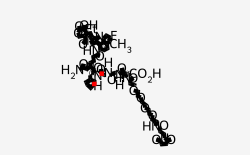 CC[C@@]1(O)C(=O)OCc2c1cc1n(c2=O)Cc2c-1nc1cc(F)c(C)c3c1c2[C@@H](NC(=O)CCCN(CC(N)=O)C(=O)[C@H](Cc1ccccc1)NC(=O)CNC(=O)CNC(=O)[C@H](CC(=O)O)NC(=O)CCOCCOCCOCCOCCNC(=O)CCN1C(=O)C=CC1=O)CC3